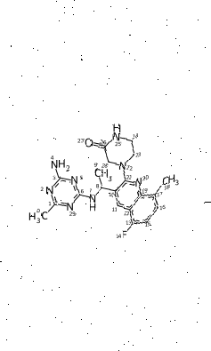 Cc1nc(N)nc(NC(C)c2cc3c(F)ccc(C)c3nc2N2CCNC(=O)C2)n1